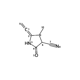 C=C=C1NC(=O)C(C#N)C1C